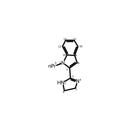 CCCn1c(C2=NCCN2)cc2ccccc21